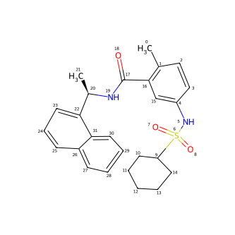 Cc1ccc(NS(=O)(=O)C2CCCCC2)cc1C(=O)N[C@H](C)c1cccc2ccccc12